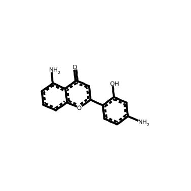 Nc1ccc(-c2cc(=O)c3c(N)cccc3o2)c(O)c1